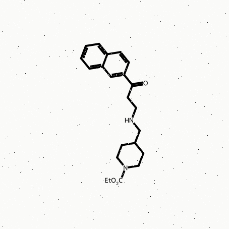 CCOC(=O)N1CCC(CNCCC(=O)c2ccc3ccccc3c2)CC1